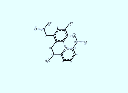 CCN(Cc1nc(C(C)C)ccc1CC(C)c1cccc(N(C)C(C)=O)n1)C(C)C